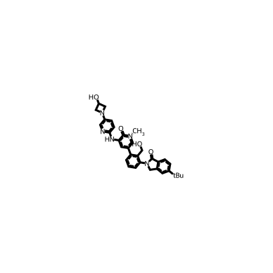 Cn1cc(-c2cccc(N3Cc4cc(C(C)(C)C)ccc4C3=O)c2CO)cc(Nc2ccc(N3CC(O)C3)cn2)c1=O